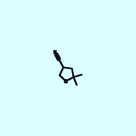 CC1(C)CC(C#N)CO1